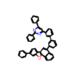 c1ccc(-c2ccc3c(c2)oc2c4ccccc4c(-c4cccc(-c5cccc(-c6cc(-c7ccccc7)nc(-c7ccccc7)n6)c5)c4)cc32)cc1